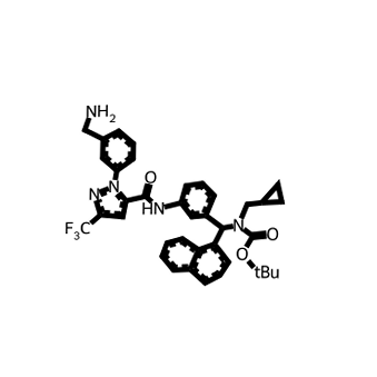 CC(C)(C)OC(=O)N(CC1CC1)C(c1cccc(NC(=O)c2cc(C(F)(F)F)nn2-c2cccc(CN)c2)c1)c1cccc2ccccc12